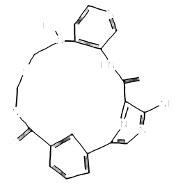 CN1CCCNC(=O)c2cccc(c2)-c2cnc(N)c(n2)C(=O)Nc2cnccc21